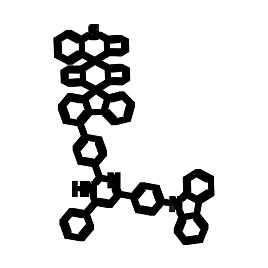 C1=C(c2ccccc2)NC(c2ccc(-c3cccc4c3-c3ccccc3C43c4ccccc4C4(c5ccccc5Sc5ccccc54)c4ccccc43)cc2)N=C1c1ccc(-n2c3ccccc3c3ccccc32)cc1